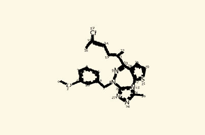 COc1cccc(CN2N=C(/C(C)=C/C=C(\C)Cl)c3ccsc3-n3c(C)nnc32)c1